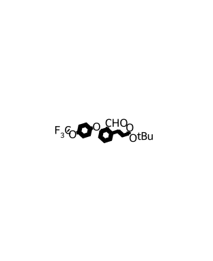 CC(C)(C)OC(=O)/C=C/c1cccc(Oc2ccc(OC(F)(F)F)cc2)c1C=O